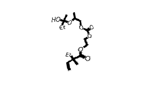 C=CC(C)(CC)C(=O)OCCOC(=O)OCC(C)OC(C)(O)CC